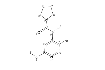 COc1cc([C@@H](C)C(=O)N2CCCC2)c(C)cn1